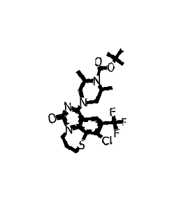 CC1CN(c2nc(=O)n3c4c(c(Cl)c(C(F)(F)F)cc24)SCCC3)CC(C)N1C(=O)OC(C)(C)C